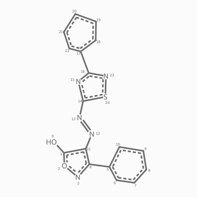 Oc1onc(-c2ccccc2)c1N=Nc1nc(-c2ccccc2)ns1